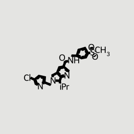 CC(C)C1c2ncc(C(=O)NCc3ccc(S(C)(=O)=O)cc3)cc2CN1Cc1ccc(Cl)cn1